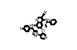 CC[C@@H](Nc1c(C#N)cnc2c(N[C@@H](c3ccc(F)cc3)c3cn(-c4ccncc4)nn3)cc(Cl)cc12)c1ccccc1